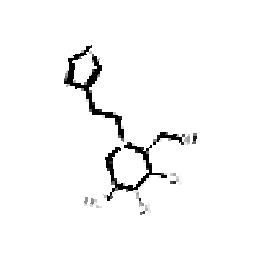 OC[C@H]1[C@@H](O)[C@H](O)[C@@H](O)CN1CCc1ccsc1